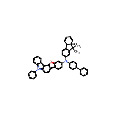 CC1(C)c2cc(N(c3ccc(-c4ccccc4)cc3)c3ccc4c(c3)oc3c4ccc4c3c3ccccc3n4-c3ccccc3)ccc2C2C=CC=CC21C